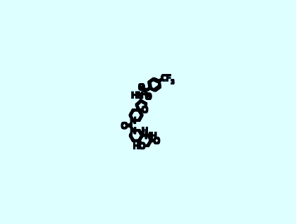 O=C1CO[C@H]2CCN(C(=O)N3CCC4(CC3)C[C@@H](NS(=O)(=O)c3ccc(C(F)(F)F)cc3)CO4)C[C@H]2N1